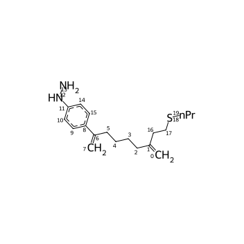 C=C(CCCCC(=C)c1ccc(NN)cc1)CCSCCC